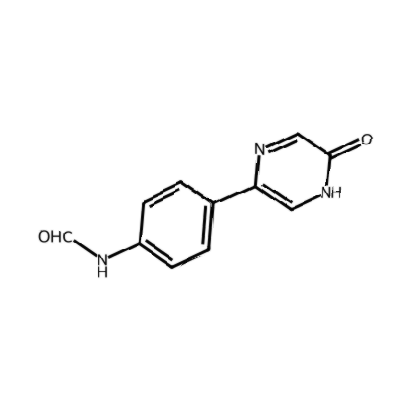 O=CNc1ccc(-c2c[nH]c(=O)cn2)cc1